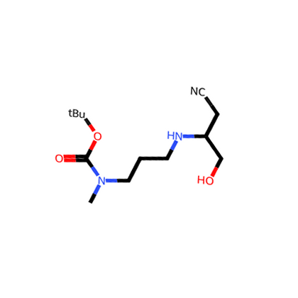 CN(CCCNC(CO)CC#N)C(=O)OC(C)(C)C